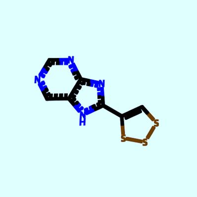 C1=C(c2nc3ncncc3[nH]2)SSS1